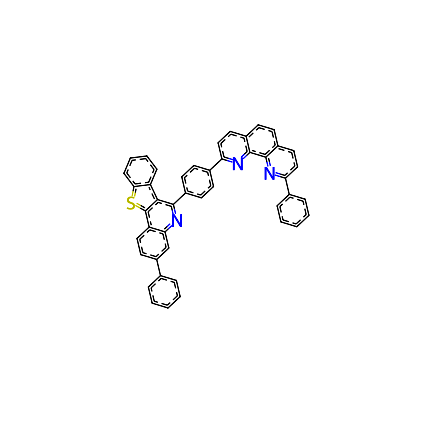 c1ccc(-c2ccc3c(c2)nc(-c2ccc(-c4ccc5ccc6ccc(-c7ccccc7)nc6c5n4)cc2)c2c4ccccc4sc32)cc1